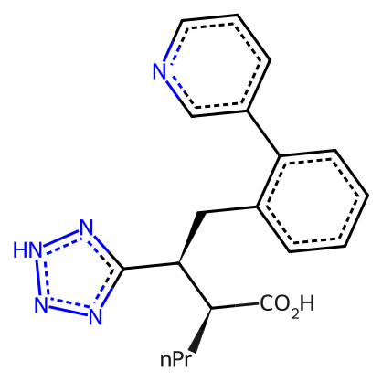 CCC[C@H](C(=O)O)[C@H](Cc1ccccc1-c1cccnc1)c1nn[nH]n1